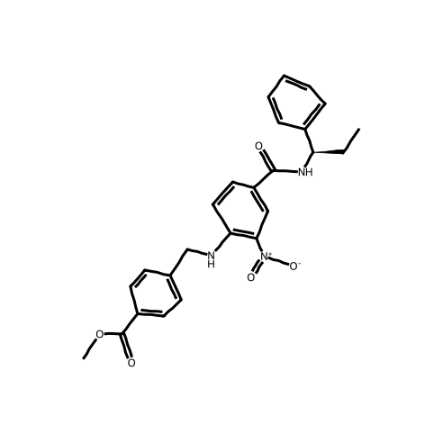 CC[C@@H](NC(=O)c1ccc(NCc2ccc(C(=O)OC)cc2)c([N+](=O)[O-])c1)c1ccccc1